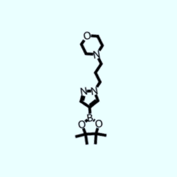 CC1(C)OB(c2cnn(CCCN3CCOCC3)c2)OC1(C)C